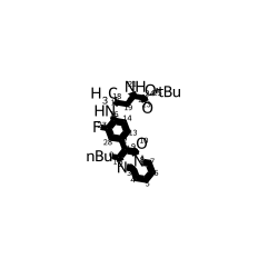 CCCCc1nc2ccccn2c(=O)c1-c1ccc(N[C@H](C)CC(=N)C(=O)OC(C)(C)C)c(F)c1